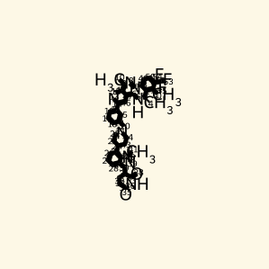 Cc1c([C@@H](C)Nc2nnc(C)c3cnc(-c4cccc(CN5CCC(c6cccc7c(C8CCC(=O)NC8=O)nn(C)c67)CC5)c4)cc23)cccc1C(F)(F)F